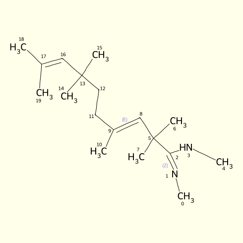 C/N=C(\NC)C(C)(C)/C=C(\C)CCC(C)(C)C=C(C)C